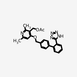 CC(=O)OCc1c(OCc2ccc(-c3ccccc3-c3nnn[nH]3)cc2)cc(C)nc1C